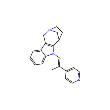 C/C(=C\n1c2c(c3ccccc31)CN1CCC2C1)c1ccncc1